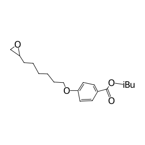 CCC(C)OC(=O)c1ccc(OCCCCCCC2CO2)cc1